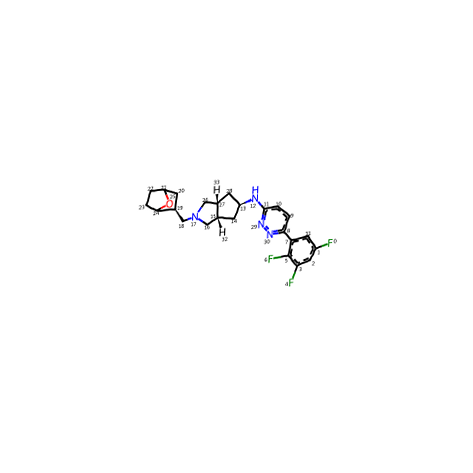 Fc1cc(F)c(F)c(-c2ccc(N[C@H]3C[C@@H]4CN(C[C@@H]5CC6CCC5O6)C[C@@H]4C3)nn2)c1